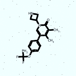 Cc1c(-c2ccc(OC(F)(F)P)cc2)cn(C2CNC2)c(=O)c1C